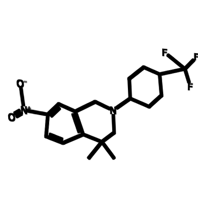 CC1(C)CN(C2CCC(C(F)(F)F)CC2)Cc2cc([N+](=O)[O-])ccc21